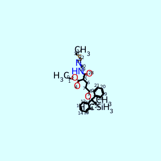 CCOC(=O)C(CCCOC(c1ccccc1)(c1ccccc1)C(C)(C)[SiH3])C(=O)NC=NSCC